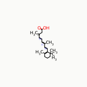 CC1=C(/C=C/C(C)=C/C=C/[C@@H](C)CC(=O)O)C(C)(C)CCC1